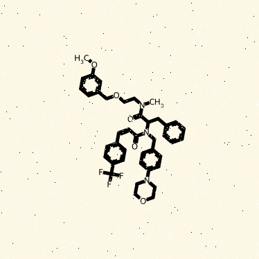 COc1cccc(COCCN(C)C(=O)C(Cc2ccccc2)N(Cc2ccc(N3CCOCC3)cc2)C(=O)C=Cc2ccc(C(F)(F)F)cc2)c1